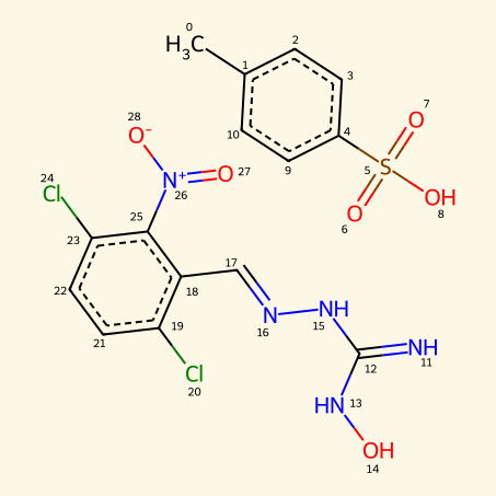 Cc1ccc(S(=O)(=O)O)cc1.N=C(NO)NN=Cc1c(Cl)ccc(Cl)c1[N+](=O)[O-]